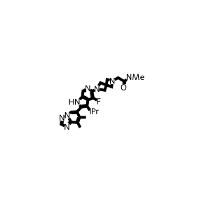 CNC(=O)CN1CC2(C1)CN(c1ncc3[nH]c(-c4cn5ncnc5c(C)c4C)c(C(C)C)c3c1F)C2